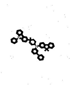 CC1(c2ccc3c(c2)c2ccccc2n3-c2ccccc2)C=CC(N(c2cccc(-c3ccccc3)c2)c2ccc3c(c2)C(C)(C)c2ccccc2-3)CC1